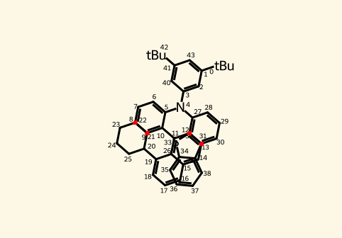 CC(C)(C)c1cc(N(c2ccccc2-c2cccc3cccc(C4CCCCC4)c23)c2cccc3c2sc2ccccc23)cc(C(C)(C)C)c1